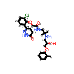 Cc1ccccc1OCC(O)CNC(C)(C)CNC(=O)COc1c(Cl)cccc1C1=NNC(=O)CC1